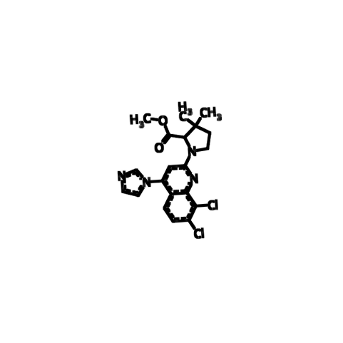 COC(=O)C1N(c2cc(-n3ccnc3)c3ccc(Cl)c(Cl)c3n2)CCC1(C)C